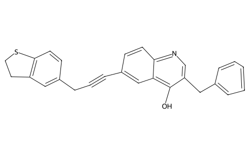 Oc1c(Cc2ccccc2)cnc2ccc(C#CCc3ccc4c(c3)CCS4)cc12